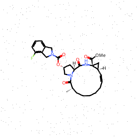 COC(=O)[C@@]12C[C@H]1/C=C\CCCCC[C@H](C)C(=O)N1C[C@H](OC(=O)N3Cc4cccc(F)c4C3)C[C@H]1C(=O)N2